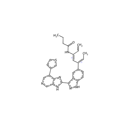 C=C/C(=C\C(=C/C)c1ccc2[nH]nc(-c3nc4c(-c5ccsc5)cncc4[nH]3)c2c1)NC(=O)CCC